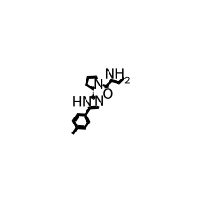 CC[C@H](N)C(=O)N1CCC[C@H]1c1ncc(-c2ccc(C)cc2)[nH]1